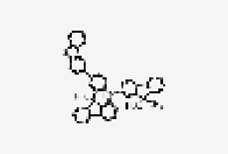 CC1(C)c2ccccc2-c2ccc(N(c3ccc(-c4ccc5sc6ccccc6c5c4)cc3)c3cccc4c3C(C)(C)c3ccccc3-4)cc21